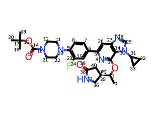 CC(Oc1nc(-c2ccc(N3CCN(C(=O)OC(C)(C)C)CC3)c(F)c2)cc2ncn(C3CC3)c12)[C@H]1CNC(=O)C1